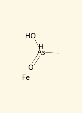 C[AsH](=O)O.[Fe]